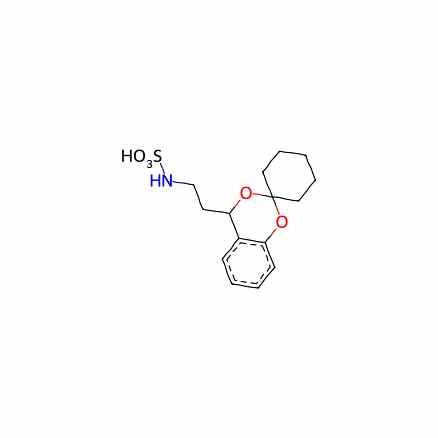 O=S(=O)(O)NCCC1OC2(CCCCC2)Oc2ccccc21